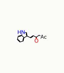 CC(=O)CC(=O)/C=C/c1c[nH]c2ccccc12